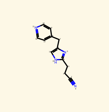 N#CCCc1nc(Cc2ccncc2)c[nH]1